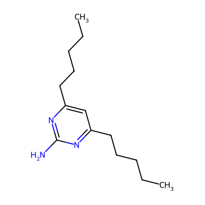 CCCCCc1cc(CCCCC)nc(N)n1